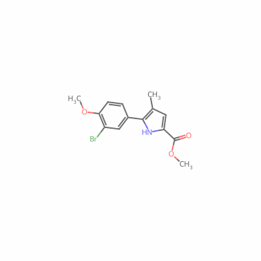 COC(=O)c1cc(C)c(-c2ccc(OC)c(Br)c2)[nH]1